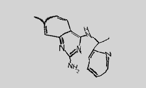 Cc1ccc2c(NC(C)c3ccccn3)nc(N)nc2c1